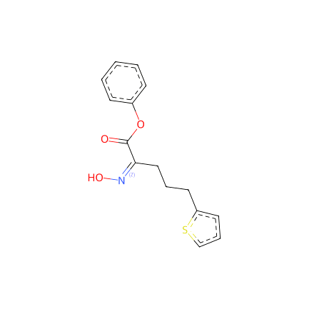 O=C(Oc1ccccc1)/C(CCCc1cccs1)=N\O